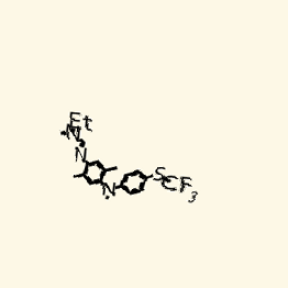 CCN(C)C=Nc1cc(C)c(N(C)c2ccc(SC(F)(F)F)cc2)cc1C